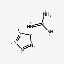 C1N=NN=N1.N=C(N)S